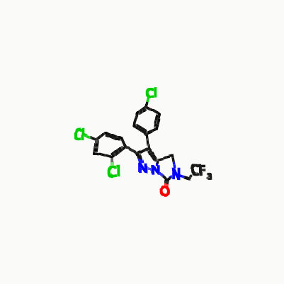 O=C1N(CC(F)(F)F)Cc2c(-c3ccc(Cl)cc3)c(-c3ccc(Cl)cc3Cl)nn21